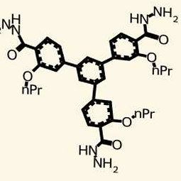 CCCOc1cc(-c2cc(-c3ccc(C(=O)NN)c(OCCC)c3)cc(-c3ccc(C(=O)NN)c(OCCC)c3)c2)ccc1C(=O)NN